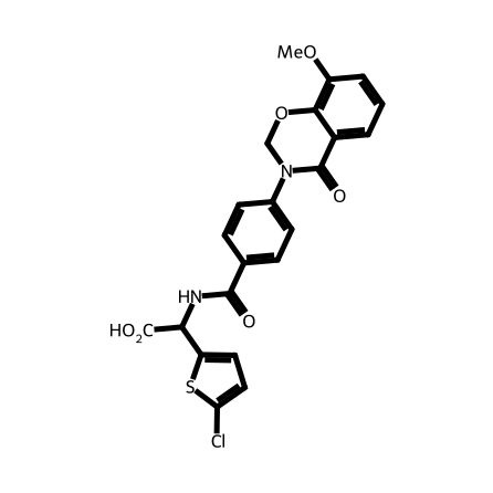 COc1cccc2c1OCN(c1ccc(C(=O)NC(C(=O)O)c3ccc(Cl)s3)cc1)C2=O